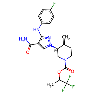 C=C1CCN(C(=O)OC(C)C(F)(F)F)C[C@H]1n1cc(C(N)=O)c(Nc2ccc(F)cc2)n1